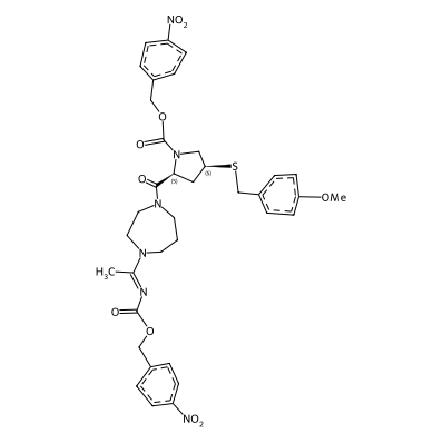 COc1ccc(CS[C@H]2C[C@@H](C(=O)N3CCCN(C(C)=NC(=O)OCc4ccc([N+](=O)[O-])cc4)CC3)N(C(=O)OCc3ccc([N+](=O)[O-])cc3)C2)cc1